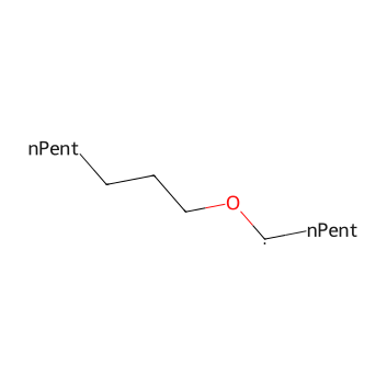 CCCCC[CH]OCCCCCCCC